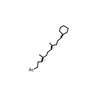 CC(=O)CC/C=C(\C)CC/C=C(\C)CCC=C1CCCCC1